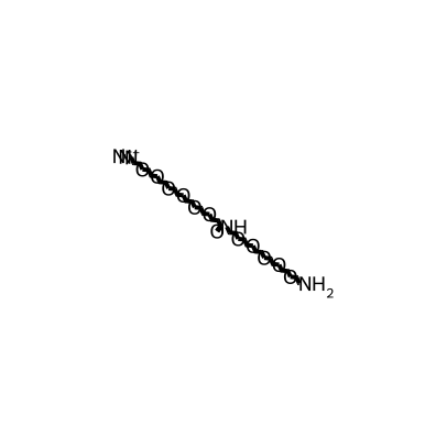 [N-]=[N+]=NCCOCCOCCOCCOCCOCCOCCC(=O)NCCOCCOCCOCCOCCOCCN